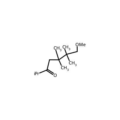 COCC(C)(C)C(C)(C)CC(=O)C(C)C